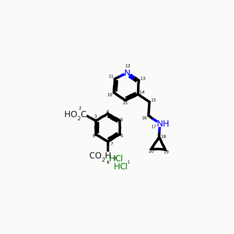 Cl.Cl.O=C(O)c1cccc(C(=O)O)c1.c1cncc(CCNC2CC2)c1